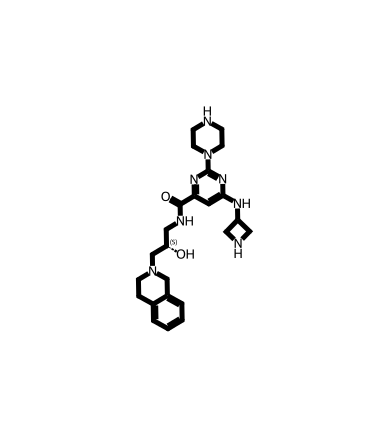 O=C(NC[C@H](O)CN1CCc2ccccc2C1)c1cc(NC2CNC2)nc(N2CCNCC2)n1